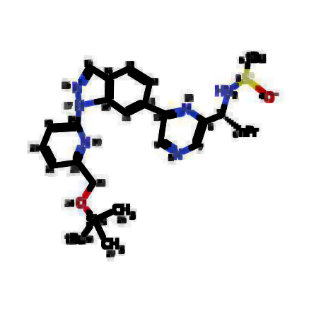 CCC[C@@H](N[S+]([O-])C(C)(C)C)c1cncc(-c2ccc3cnn(-c4cccc(CO[Si](C)(C)C(C)(C)C)n4)c3c2)n1